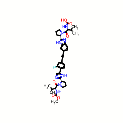 COC(=O)N[C@H](C(=O)N1CCC[C@H]1c1ncc(-c2ccc(C#Cc3ccc4nc([C@@H]5CCCN5C(=O)[C@@H](NC(=O)O)C(C)C)[nH]c4c3)cc2F)[nH]1)C(C)C